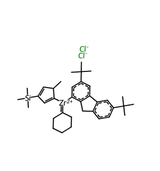 CC1C=C([Si](C)(C)C)C=[C]1[Zr+2](=[C]1CCCCC1)[c]1cc(C(C)(C)C)cc2c1Cc1ccc(C(C)(C)C)cc1-2.[Cl-].[Cl-]